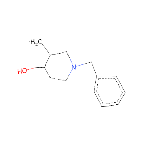 [CH2]C1CN(Cc2ccccc2)CCC1O